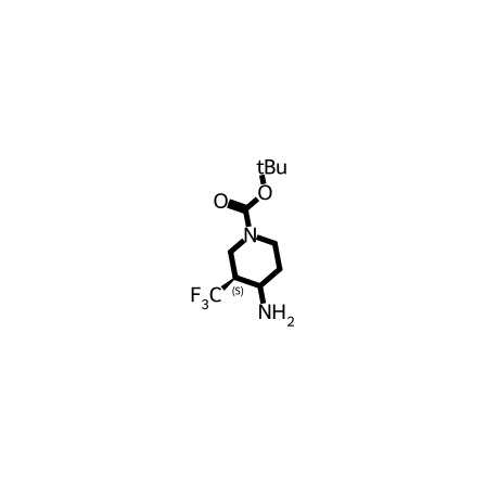 CC(C)(C)OC(=O)N1CCC(N)[C@@H](C(F)(F)F)C1